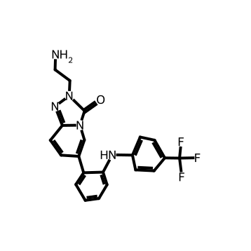 NCCn1nc2ccc(-c3ccccc3Nc3ccc(C(F)(F)F)cc3)cn2c1=O